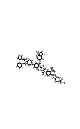 CCc1ccccc1[C@@H]1CCCN1C1CC2(CCN(c3ccc(C(=O)NS(=O)(=O)c4cnc(NCC5CCC(C)(O)CC5)c([N+](=O)[O-])c4)c(Oc4cnc5[nH]ccc5c4)c3)CC2)C1